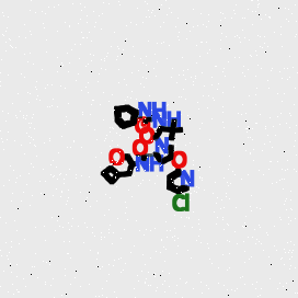 CC(C)(C)[C@@H](NC1Nc2ccccc2O1)C(=O)N1C[C@H](Oc2ccc(Cl)cn2)C[C@@H]1C(=O)NC(C=O)CC1CCC1